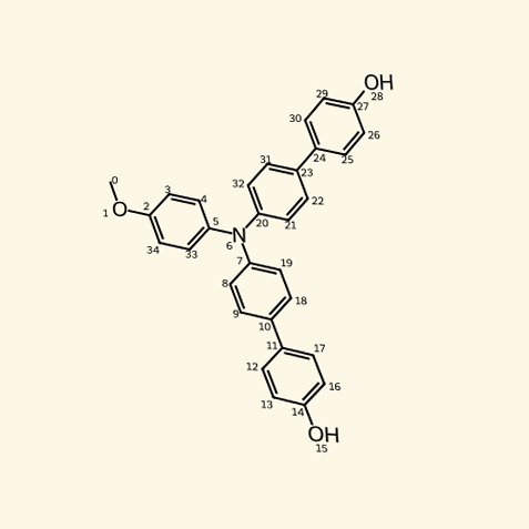 COc1ccc(N(c2ccc(-c3ccc(O)cc3)cc2)c2ccc(-c3ccc(O)cc3)cc2)cc1